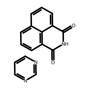 O=C1NC(=O)c2cccc3cccc1c23.c1cncnc1